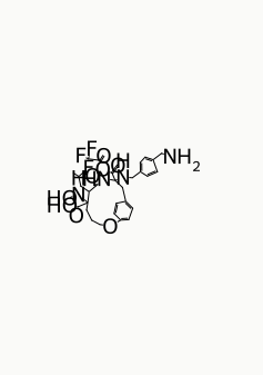 CC(C)CC1C(=O)NC(NCc2ccc(CN)cc2)(C(=O)OC(=O)C(F)(F)F)Cc2ccc(cc2)OCCCC1(NO)C(=O)O